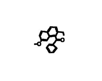 CCc1ccc2ccc(OC)cc2c1C(=O)c1ccccc1